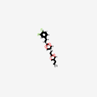 CC/C=C/C1COC(CC[C@H]2CO[C@H](CCc3ccc(F)c(F)c3)OC2)OC1